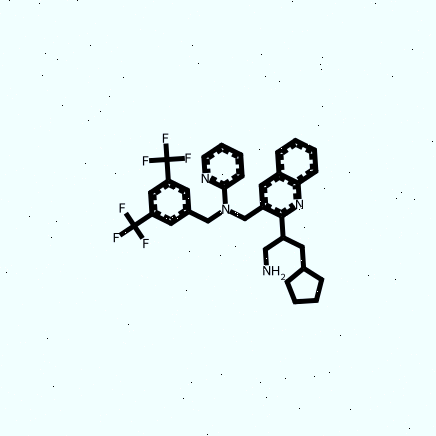 NCC(CC1CCCC1)c1nc2ccccc2cc1CN(Cc1cc(C(F)(F)F)cc(C(F)(F)F)c1)c1ccccn1